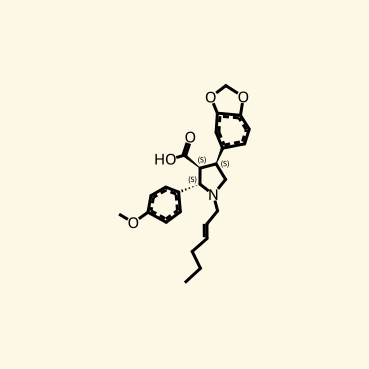 CCCC=CCN1C[C@H](c2ccc3c(c2)OCO3)[C@H](C(=O)O)[C@H]1c1ccc(OC)cc1